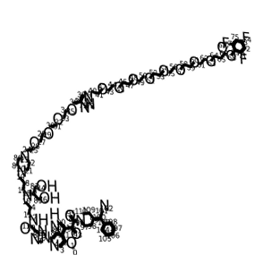 COc1cnc(-n2cnc(C(=O)NCCCN(CCCN3CCN(CCOCCOCCOCCOCc4cn(CCOCCOCCOCCOCCOCCOCCOCCOCCC(=O)Oc5c(F)cc(F)cc5F)nn4)CC3)C(CO)CO)n2)c2[nH]cc(C(=O)C(=O)N3CCC(=C(C#N)c4ccccc4)CC3)c12